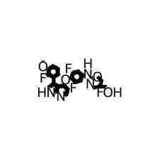 COc1cccc(-c2c[nH]c3nccc(Oc4c(F)cc(NC5=NCC(F)(CO)CO5)cc4F)c23)c1F